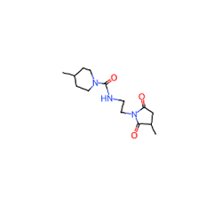 CC1CCN(C(=O)NCCN2C(=O)CC(C)C2=O)CC1